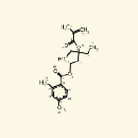 C=C(C)C(=O)OC(CC)(CC)CCOC(=O)c1ccc(C)cc1C